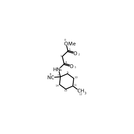 COC(=O)CC(=O)NC1(C#N)CCC(C)CC1